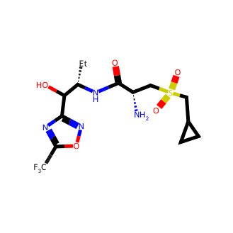 CC[C@H](NC(=O)[C@@H](N)CS(=O)(=O)CC1CC1)C(O)c1noc(C(F)(F)F)n1